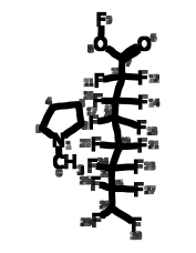 CN1CCCC1.O=C(OF)C(F)(F)C(F)(F)C(F)(F)C(F)(F)C(F)(F)C(F)(F)C(F)F